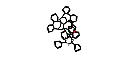 c1ccc(-c2nc(-c3ccccc3)nc(-c3ccc(-c4cccc5c4C46CC7CCC8(CC9CC(CC(C4)c4ccccc4-5)(c4ccccc4-c4ccccc49)C86)c4ccccc4-c4ccccc4C7)cc3)n2)cc1